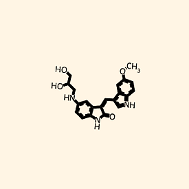 COc1ccc2[nH]cc(C=C3C(=O)Nc4ccc(NCC(O)CO)cc43)c2c1